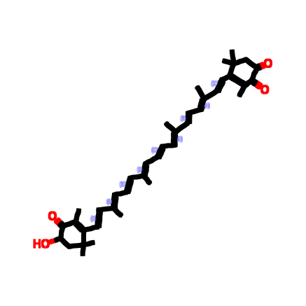 CC1=C(/C=C/C(C)=C/C=C/C(C)=C/C=C/C=C(C)/C=C/C=C(C)/C=C/C2=C(C)C(=O)C(O)CC2(C)C)C(C)(C)CC(=O)C1=O